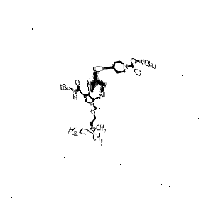 CC(C)(C)NC(=O)c1cn(COCC[Si](C)(C)C)c2ncc(OC3CCN(C(=O)OC(C)(C)C)CC3)nc12